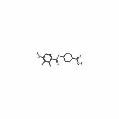 COc1ccc(C(=O)OC2CCC(C(=O)O)CC2)c(C)c1C